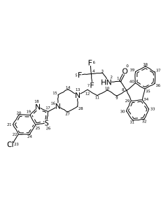 O=C(NCC(F)(F)F)C1(CCCCN2CCN(c3nc4ccc(Cl)cc4s3)CC2)c2ccccc2-c2ccccc21